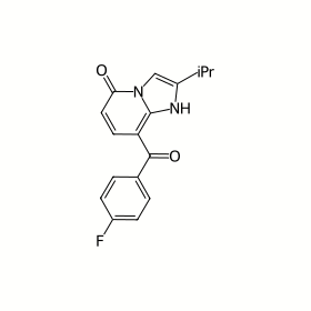 CC(C)c1cn2c(=O)ccc(C(=O)c3ccc(F)cc3)c2[nH]1